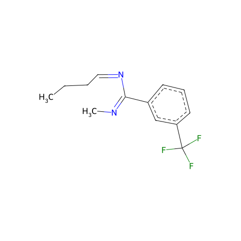 CCC/C=N\C(=N/C)c1cccc(C(F)(F)F)c1